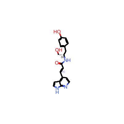 O=C(/C=C/c1ccnc2[nH]ccc12)N[C@H](CO)Cc1ccc(O)cc1